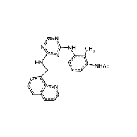 CC(=O)Nc1cccc(Nc2ncnc(NCc3cccc4cccnc34)n2)c1C